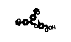 O=C(O)Cc1ccc(OCC=C(c2ccc(-c3ccco3)cc2)c2ccc(-c3ccco3)cc2)c(I)c1